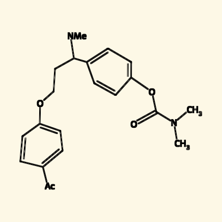 CNC(CCOc1ccc(C(C)=O)cc1)c1ccc(OC(=O)N(C)C)cc1